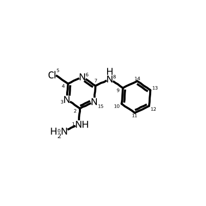 NNc1nc(Cl)nc(Nc2ccccc2)n1